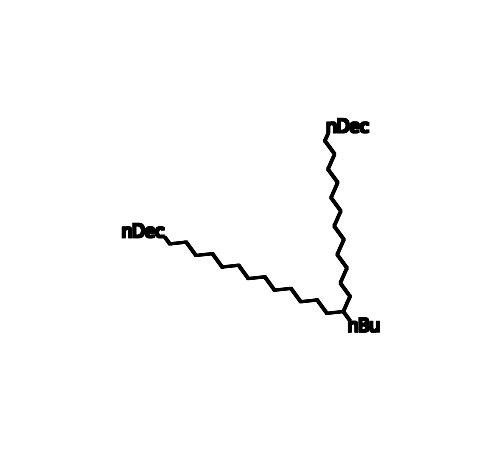 [CH2]CCCC(CCCCCCCCCCCCCCCCCCCCCC)CCCCCCCCCCCCCCCCCCCCCCC